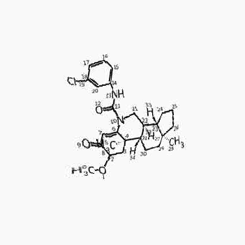 COC1C[C@@]2(C)C(=CC1=O)N(C(=O)Nc1cccc(Cl)c1)C[C@H]1[C@@H]3CCC[C@@]3(C)CC[C@@H]12